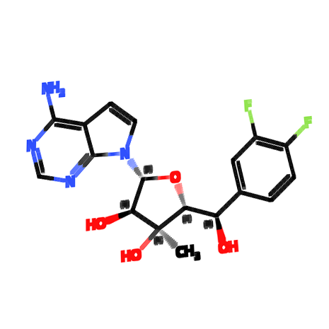 C[C@@]1(O)[C@@H]([C@H](O)c2ccc(F)c(F)c2)O[C@@H](n2ccc3c(N)ncnc32)[C@@H]1O